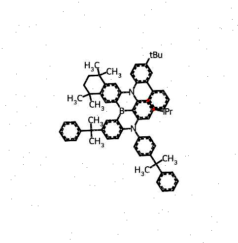 CC(C)c1cc2c3c(c1)N(c1ccc(C(C)(C)C)cc1-c1ccccc1)c1cc4c(cc1B3c1cc(C(C)(C)c3ccccc3)ccc1N2c1ccc(C(C)(C)c2ccccc2)cc1)C(C)(C)CCC4(C)C